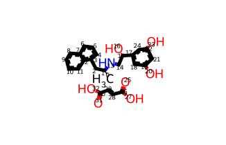 C[C@H](Cc1cccc2ccccc12)NC[C@H](O)c1cc(O)cc(O)c1.O=C(O)/C=C/C(=O)O